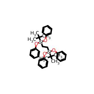 CC(C)(C)[Si](CC[Si](Oc1ccccc1)(Oc1ccccc1)C(C)(C)C)(Oc1ccccc1)Oc1ccccc1